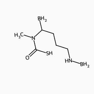 BNCCCC(B)N(C)C(=O)S